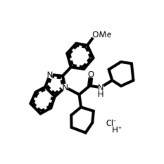 COc1ccc(-c2nc3ccccc3n2C(C(=O)NC2CCCCC2)C2CCCCC2)cc1.[Cl-].[H+]